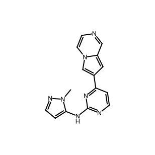 Cn1nccc1Nc1nccc(-c2cc3cnccn3c2)n1